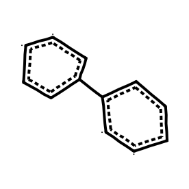 [c]1[c]c(-c2c[c][c]cc2)ccc1